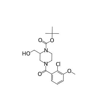 COc1cccc(C(=O)N2CCN(C(=O)OC(C)(C)C)C(CO)C2)c1Cl